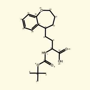 CC(C)(C)OC(=O)NC(CCC1CCCOc2ccccc21)C(=O)O